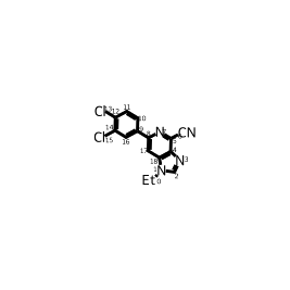 CCn1cnc2c(C#N)nc(-c3ccc(Cl)c(Cl)c3)cc21